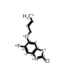 C/C=C/COc1cc2sc(Cl)nc2cc1F